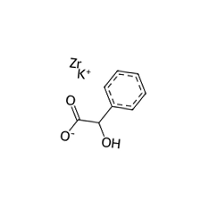 O=C([O-])C(O)c1ccccc1.[K+].[Zr]